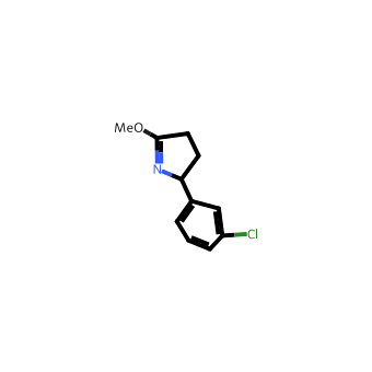 COC1=NC(c2cccc(Cl)c2)CC1